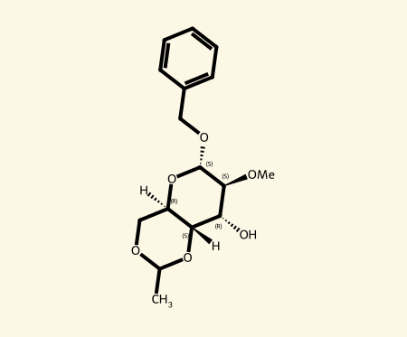 CO[C@@H]1[C@@H](OCc2ccccc2)O[C@@H]2COC(C)O[C@H]2[C@H]1O